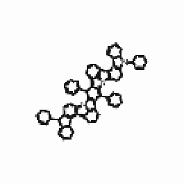 c1ccc(-c2c3c4cccc5c6c7c8ccccc8n(-c8ccccc8)c7ccc6n(c3c(-c3ccccc3)c3c6cccc7c8c9c(ccc8n(c23)c76)C(c2ccccc2)c2ccccc2-9)c45)cc1